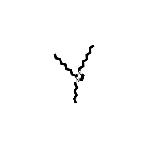 CCCCCCCCC1N(CCCCCC)C=CN1CCCCCCCC